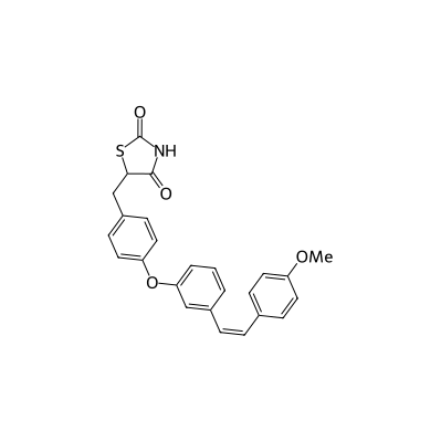 COc1ccc(/C=C\c2cccc(Oc3ccc(CC4SC(=O)NC4=O)cc3)c2)cc1